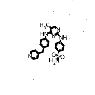 Cc1cnc(Nc2ccc(S(N)(=O)=O)cc2)nc1Nc1ccc(Cc2ccncc2)cc1